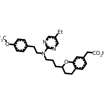 CCc1cnc(N(CCCC2CCc3ccc(CC(=O)O)cc3O2)CCc2ccc(OC(F)(F)F)cc2)nc1